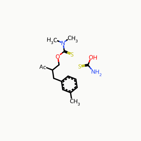 CC(=O)C(COC(=S)N(C)C)Cc1cccc(C)c1.NC(O)=S